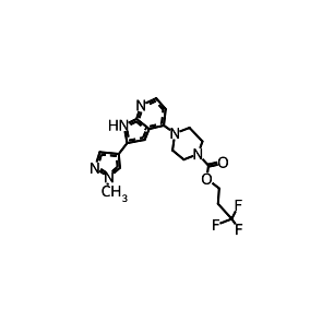 Cn1cc(-c2cc3c(N4CCN(C(=O)OCCC(F)(F)F)CC4)ccnc3[nH]2)cn1